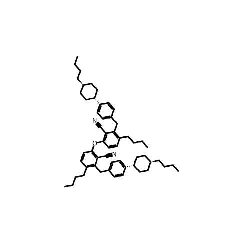 CCCCc1ccc(Oc2ccc(CCCC)c(Cc3ccc([C@H]4CC[C@H](CCCC)CC4)cc3)c2C#N)c(C#N)c1Cc1ccc([C@H]2CC[C@H](CCCC)CC2)cc1